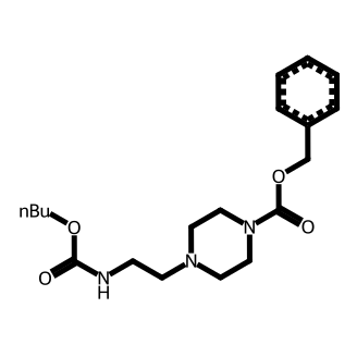 CCCCOC(=O)NCCN1CCN(C(=O)OCc2ccccc2)CC1